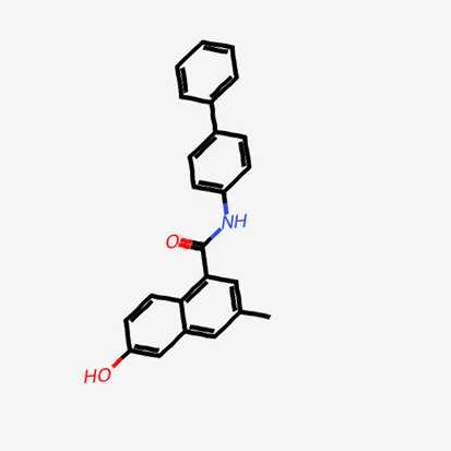 Cc1cc(C(=O)Nc2ccc(-c3ccccc3)cc2)c2ccc(O)cc2c1